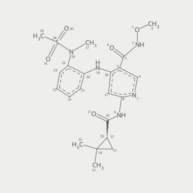 CONC(=O)c1cnc(NC(=O)[C@H]2CC2(C)C)cc1Nc1ccccc1N(C)S(C)(=O)=O